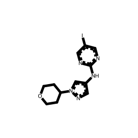 Ic1cnc(Nc2cnn(C3CCOCC3)c2)nc1